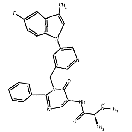 CN[C@@H](C)C(=O)Nc1cnc(-c2ccccc2)n(Cc2cncc(-n3cc(C)c4cc(F)ccc43)c2)c1=O